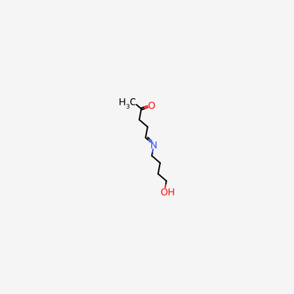 CC(=O)CCC=NCCCCO